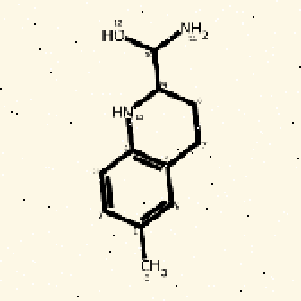 Cc1ccc2c(c1)CCC(C(N)O)N2